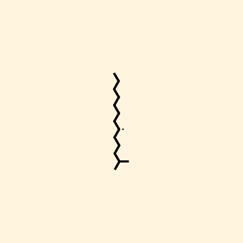 CCCCCCC[CH]CCCC(C)C